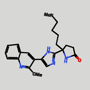 CNCCCCC1(c2ncc(-c3cc4ccccc4nc3OC)[nH]2)CCC(=O)N1